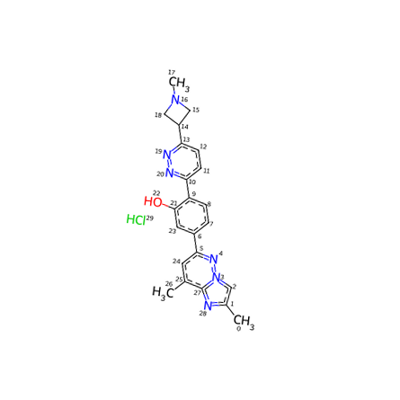 Cc1cn2nc(-c3ccc(-c4ccc(C5CN(C)C5)nn4)c(O)c3)cc(C)c2n1.Cl